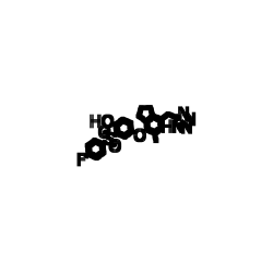 Cc1cc(Cc2nnn[nH]2)c2c(c1Oc1ccc(O)c(S(=O)(=O)c3ccc(F)cc3)c1)CCC2